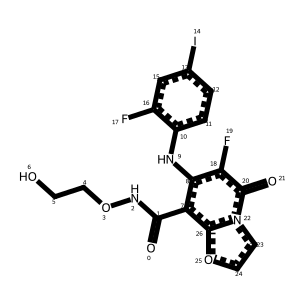 O=C(NOCCO)c1c(Nc2ccc(I)cc2F)c(F)c(=O)n2ccoc12